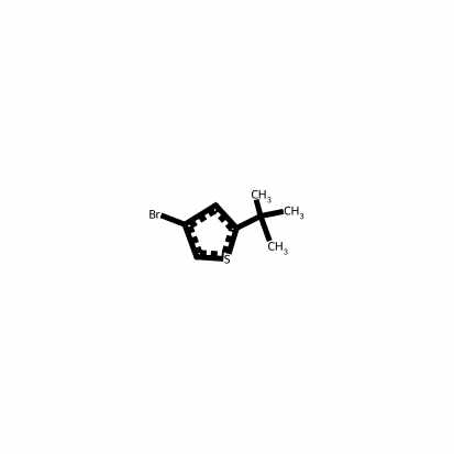 CC(C)(C)c1cc(Br)cs1